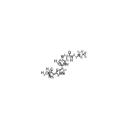 Cc1ncc(C(=O)NCCN2CCC3(CC3)C2)cc1NC(=O)c1cnn2cc(-c3cnn(C)c3C)sc12